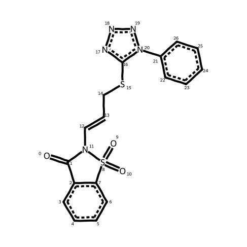 O=C1c2ccccc2S(=O)(=O)N1C=CCSc1nnnn1-c1ccccc1